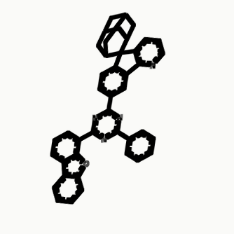 c1ccc(-c2nc(-c3ccc4c(c3)-c3ncccc3C43C4CC5CC(C4)CC3C5)nc(-c3cccc4c3oc3ccccc34)n2)cc1